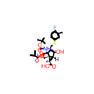 Cc1cc(SC[C@@H]2[C@@H](O)[C@@H]3[C@@H](C(=O)O)[C@]3(COC(=O)C(C)C)[C@@]2(NC(=O)OC(C)(C)C)C(=O)O)ccc1F